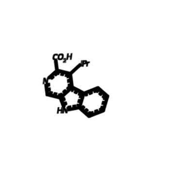 CC(C)c1c(C(=O)O)ncc2[nH]c3ccccc3c12